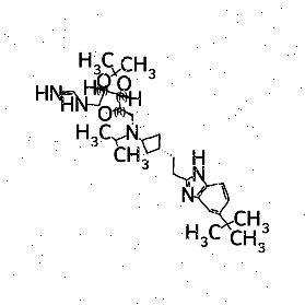 CC(C)N(C[C@H]1OC(NC=N)[C@@H]2OC(C)(C)O[C@H]12)[C@H]1C[C@@H](CCc2nc3cc(C(C)(C)C)ccc3[nH]2)C1